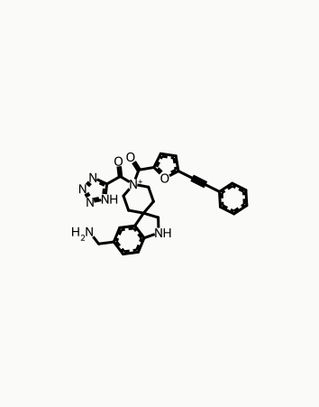 NCc1ccc2c(c1)C1(CC[N+](C(=O)c3nnn[nH]3)(C(=O)c3ccc(C#Cc4ccccc4)o3)CC1)CN2